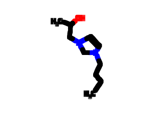 CCCCN1C=CN(CC(C)O)C1